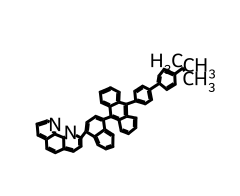 CC(C)(C)c1ccc(-c2ccc(-c3c4ccccc4c(-c4ccc(-c5ccc6ccc7cccnc7c6n5)c5ccccc45)c4ccccc34)cc2)cc1